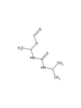 CC(C)NC(=S)NC(C)O[C]=O